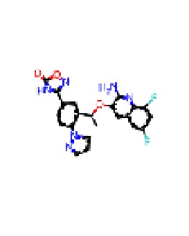 C[C@H](Oc1cc2cc(F)cc(F)c2nc1N)c1cc(-c2noc(=O)[nH]2)ccc1-n1cccn1